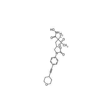 CC(CC1CN(c2ccc(C#CC3CCOCC3)cc2)C(=O)O1)(C(=O)NO)S(C)(=O)=O